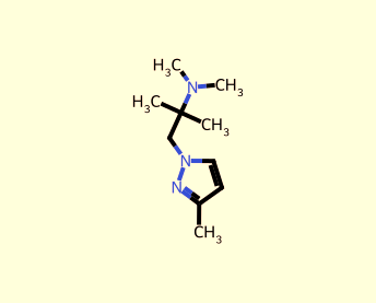 Cc1ccn(CC(C)(C)N(C)C)n1